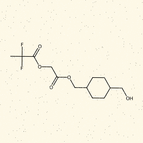 CC(F)(F)C(=O)OCC(=O)OCC1CCC(CO)CC1